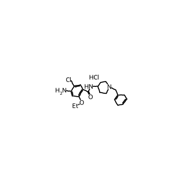 CCOc1cc(N)c(Cl)cc1C(=O)NC1CCN(CC2=CCC=CC2)CC1.Cl